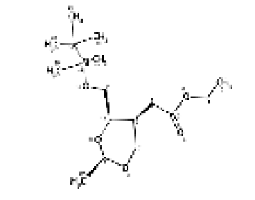 CCOC(=O)C[C@H]1CO[C@@H](C)O[C@H]1CO[Si](C)(C)C(C)(C)C